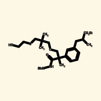 CCOC(=O)C(C)Cc1cccc(C(C)(COCC(C)(C)CSCCO)C(=O)NNC)c1